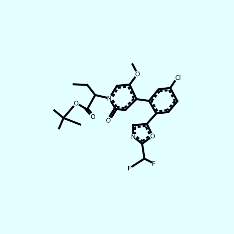 CCC(C(=O)OC(C)(C)C)n1cc(OC)c(-c2cc(Cl)ccc2-c2cnc(C(F)F)o2)cc1=O